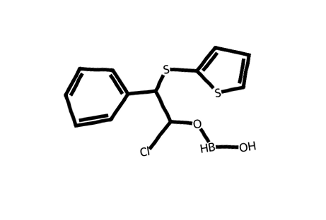 OBOC(Cl)C(Sc1cccs1)c1ccccc1